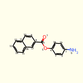 Nc1ccc(OC(=O)c2ccc3ccccc3c2)cc1